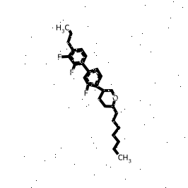 CCCCCCCC1CCC(c2ccc(-c3ccc(CCC)c(F)c3F)cc2F)CO1